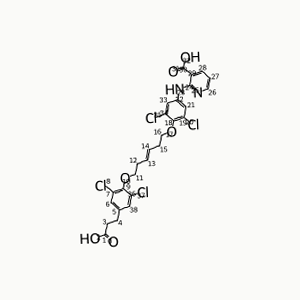 O=C(O)CCc1cc(Cl)c(OCC/C=C/CCOc2c(Cl)cc(Nc3ncccc3C(=O)O)cc2Cl)c(Cl)c1